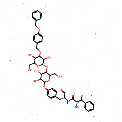 CC(c1ccccc1)[C@H](N)C(=O)N[C@H]([C]=O)Cc1ccc(OC2OC(CO)C(OC3OC(CO)C(O)C(OCc4ccc(OCc5ccccc5)cc4)C3O)C(O)C2O)cc1